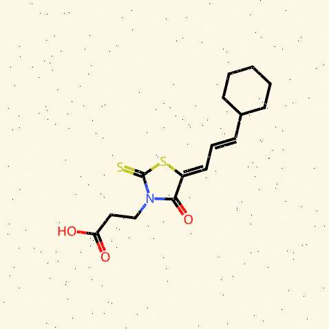 O=C(O)CCN1C(=O)C(=CC=CC2CCCCC2)SC1=S